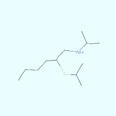 CCCCC(CNC(C)C)SC(C)C